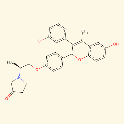 CC1=C(c2cccc(O)c2)C(c2ccc(OC[C@H](C)N3CCC(=O)C3)cc2)Oc2ccc(O)cc21